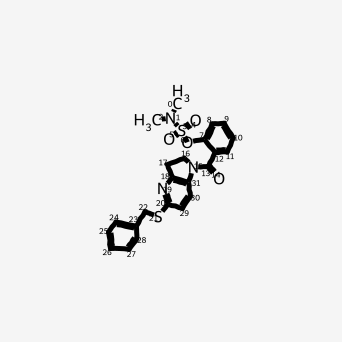 CN(C)S(=O)(=O)Oc1ccccc1C(=O)N1CCc2nc(SCc3ccccc3)ccc21